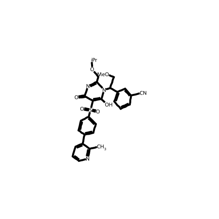 COCC(c1cccc(C#N)c1)n1c(COC(C)C)nc(=O)c(S(=O)(=O)c2ccc(-c3cccnc3C)cc2)c1O